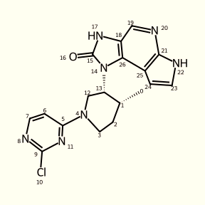 C[C@@H]1CCN(c2ccnc(Cl)n2)C[C@@H]1n1c(=O)[nH]c2cnc3[nH]ccc3c21